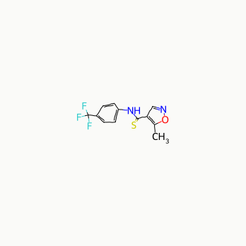 Cc1oncc1C(=S)Nc1ccc(C(F)(F)F)cc1